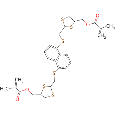 C=C(C)C(=O)OCC1CSC(CSc2cccc3c(SCC4SCC(COC(=O)C(=C)C)S4)cccc23)S1